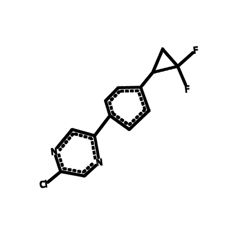 FC1(F)CC1c1ccc(-c2cnc(Cl)cn2)cc1